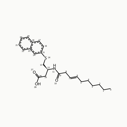 CCCCCC/C=C/CC(=O)N[C@H](CSc1ccc2ccccc2c1)CC(=O)O